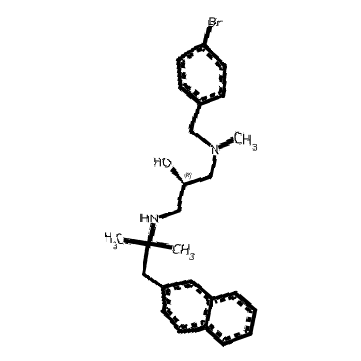 CN(Cc1ccc(Br)cc1)C[C@H](O)CNC(C)(C)Cc1ccc2ccccc2c1